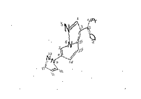 CC(C)C(=O)c1cnn2cc(-n3cccn3)ccc12